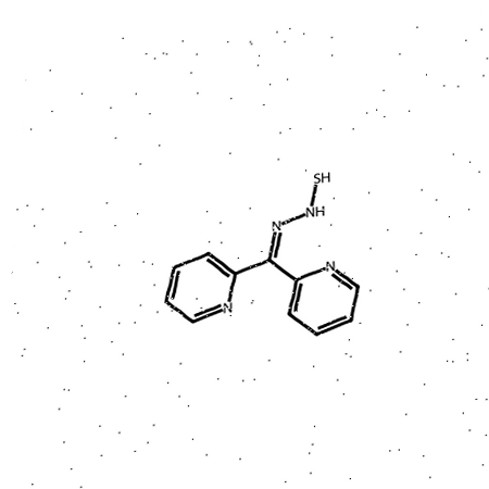 SNN=C(c1ccccn1)c1ccccn1